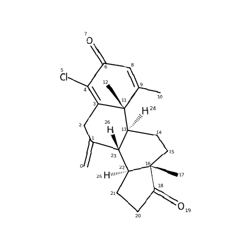 C=C1CC2=C(Cl)C(=O)C=C(C)[C@]2(C)[C@H]2CC[C@]3(C)C(=O)CC[C@H]3[C@H]12